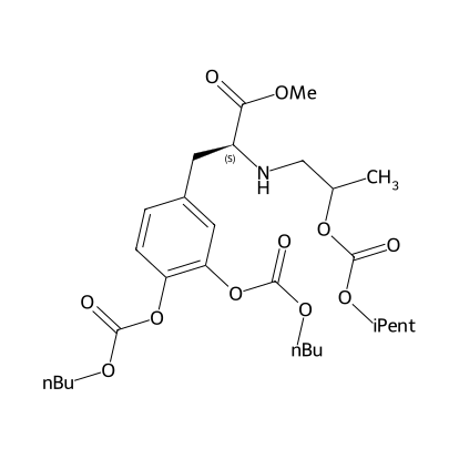 CCCCOC(=O)Oc1ccc(C[C@H](NCC(C)OC(=O)OC(C)CCC)C(=O)OC)cc1OC(=O)OCCCC